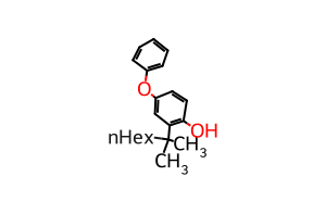 CCCCCCC(C)(C)c1cc(Oc2ccccc2)ccc1O